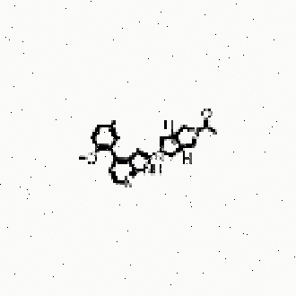 COc1ccc(F)cc1-c1ccnc2[nH]c([C@H]3C[C@@H]4CN(C(C)=O)C[C@@H]4C3)cc12